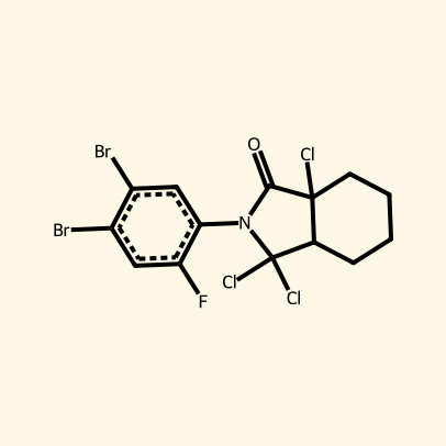 O=C1N(c2cc(Br)c(Br)cc2F)C(Cl)(Cl)C2CCCCC12Cl